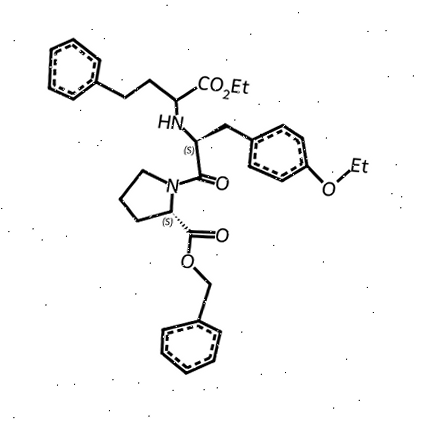 CCOC(=O)C(CCc1ccccc1)N[C@@H](Cc1ccc(OCC)cc1)C(=O)N1CCC[C@H]1C(=O)OCc1ccccc1